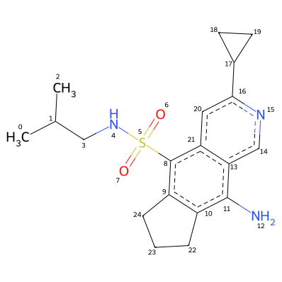 CC(C)CNS(=O)(=O)c1c2c(c(N)c3cnc(C4CC4)cc13)CCC2